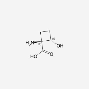 N[C@@]1(C(=O)O)CC[C@@H]1O